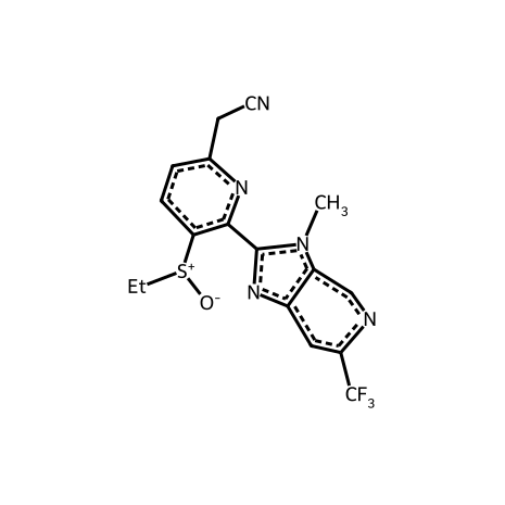 CC[S+]([O-])c1ccc(CC#N)nc1-c1nc2cc(C(F)(F)F)ncc2n1C